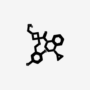 C[CH]N1CC(OCc2cc(Cl)ccc2Cl)(C(=O)N2CCN(C3CC3)c3ccccc32)C1